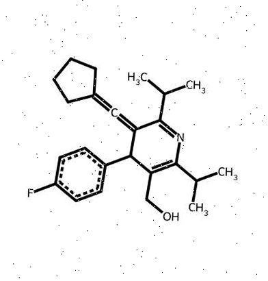 CC(C)C1=NC(C(C)C)=C(CO)C(c2ccc(F)cc2)C1=C=C1CCCC1